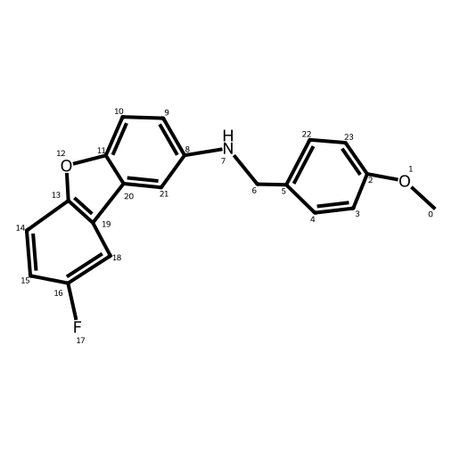 COc1ccc(CNc2ccc3oc4ccc(F)cc4c3c2)cc1